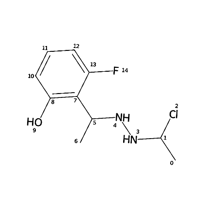 CC(Cl)NNC(C)c1c(O)cccc1F